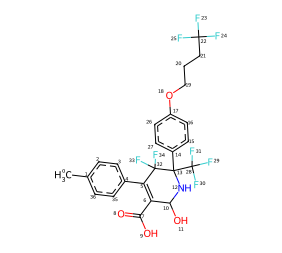 Cc1ccc(C2=C(C(=O)O)C(O)NC(c3ccc(OCCCC(F)(F)F)cc3)(C(F)(F)F)C2(F)F)cc1